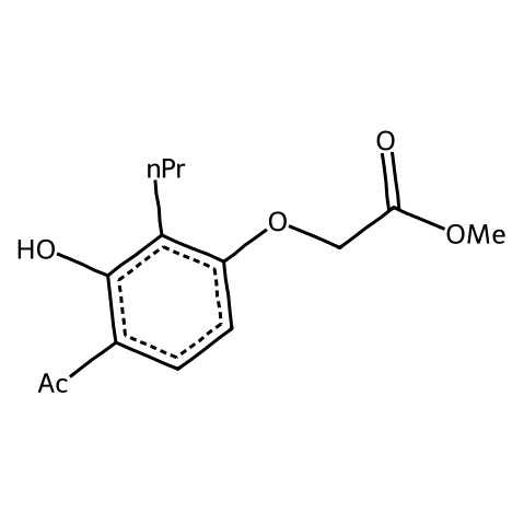 CCCc1c(OCC(=O)OC)ccc(C(C)=O)c1O